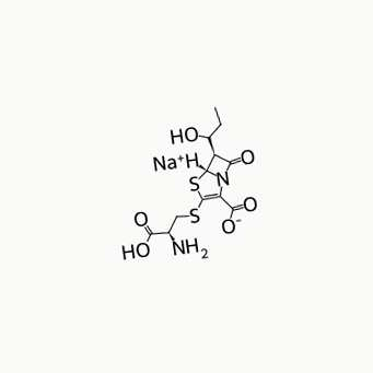 CCC(O)[C@H]1C(=O)N2C(C(=O)[O-])=C(SC[C@@H](N)C(=O)O)S[C@H]12.[Na+]